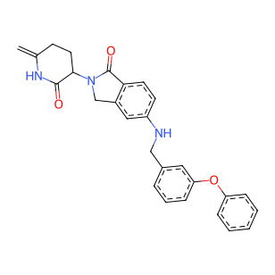 C=C1CCC(N2Cc3cc(NCc4cccc(Oc5ccccc5)c4)ccc3C2=O)C(=O)N1